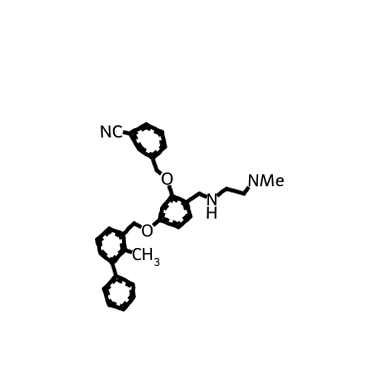 CNCCNCc1ccc(OCc2cccc(-c3ccccc3)c2C)cc1OCc1cccc(C#N)c1